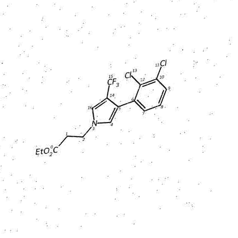 CCOC(=O)CCn1cc(-c2cccc(Cl)c2Cl)c(C(F)(F)F)c1